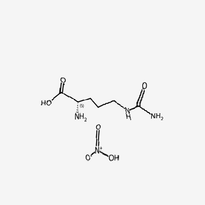 NC(=O)NCCC[C@H](N)C(=O)O.O=[N+]([O-])O